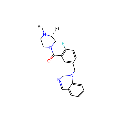 CC[C@@H]1CN(C(=O)c2cc(CN3CN=Cc4ccccc43)ccc2F)CCN1C(C)=O